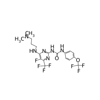 CN(C)CCCNc1nc(NC(=O)Nc2ccc(OC(F)(F)F)cc2)nc(C(F)(F)F)c1F